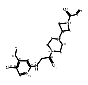 C=CC(=O)N1CC(N2CCN(C(=O)CNc3cc(CC)c(Cl)cn3)CC2)C1